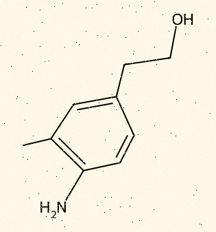 Cc1cc(CCO)ccc1N